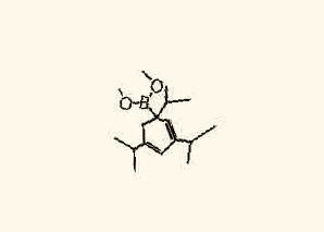 COB(OC)C1(C(C)C)C=C(C(C)C)C=C(C(C)C)C1